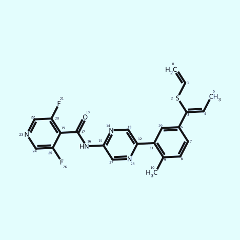 C=CS/C(=C\C)c1ccc(C)c(-c2cnc(NC(=O)c3c(F)cncc3F)cn2)c1